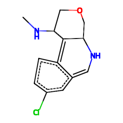 CNC1COCC2NC=c3cc(Cl)ccc3=C12